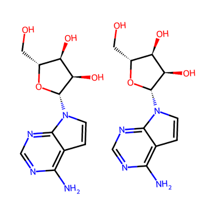 Nc1ncnc2c1ccn2[C@@H]1O[C@H](CO)[C@@H](O)[C@H]1O.Nc1ncnc2c1ccn2[C@@H]1O[C@H](CO)[C@@H](O)[C@H]1O